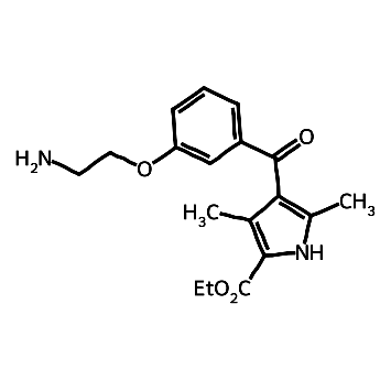 CCOC(=O)c1[nH]c(C)c(C(=O)c2cccc(OCCN)c2)c1C